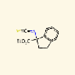 CCOC(=O)C1(N=C=S)CCc2ccccc21